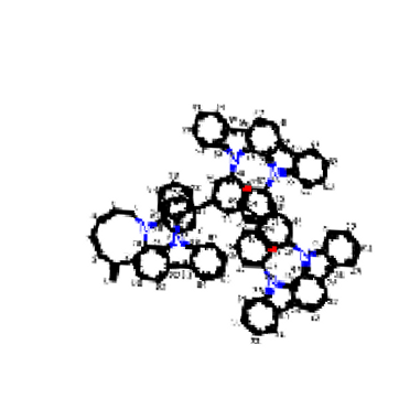 C=C1/C=C\C=C/CN(c2ccc(-c3cc(-c4ccc(-n5c6ccccc6c6ccc7c8ccccc8n(-c8ccccc8)c7c65)cc4)cc(-n4c5ccccc5c5ccc6c7ccccc7n(-c7ccccc7)c6c54)c3)cc2)c2c1ccc1c3ccccc3n(-c3ccccc3)c21